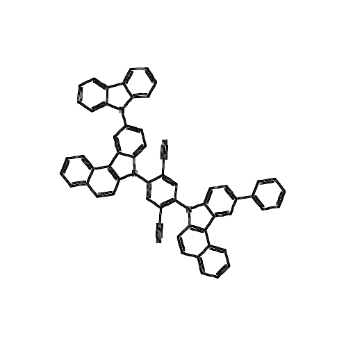 N#Cc1cc(-n2c3ccc(-n4c5ccccc5c5ccccc54)cc3c3c4ccccc4ccc32)c(C#N)cc1-n1c2ccc(-c3ccccc3)cc2c2c3ccccc3ccc21